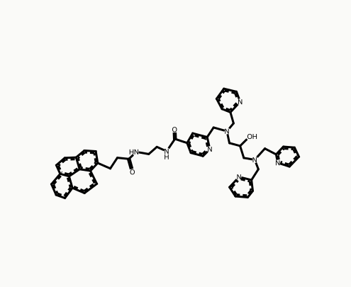 O=C(CCc1ccc2ccc3cccc4ccc1c2c34)NCCNC(=O)c1ccnc(CN(Cc2ccccn2)CC(O)CN(Cc2ccccn2)Cc2ccccn2)c1